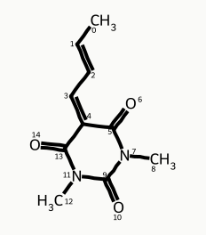 CC=CC=C1C(=O)N(C)C(=O)N(C)C1=O